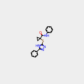 O=C(Nc1ccccc1)C1(Sc2nnc(-c3ccccc3)[nH]2)CC1